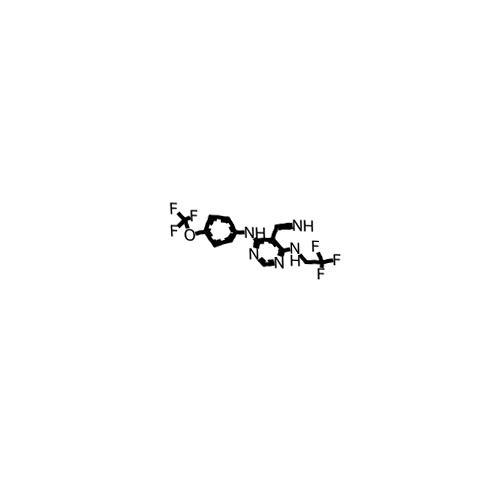 N=Cc1c(NCC(F)(F)F)ncnc1Nc1ccc(OC(F)(F)F)cc1